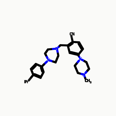 CC(C)c1ccc(N2CCN(Cc3cc(N4CCN(C)CC4)ccc3C#N)CC2)cc1